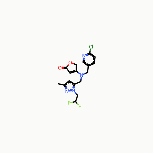 Cc1cc(CN(Cc2ccc(Cl)nc2)C2=CC(=O)OC2)n(CC(F)F)n1